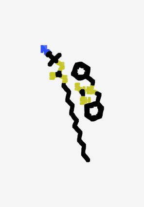 CCCCCCCCCCCCSC(=S)SC(C)(C)C#N.S=C(S)[SH](Cc1ccccc1)Cc1ccccc1